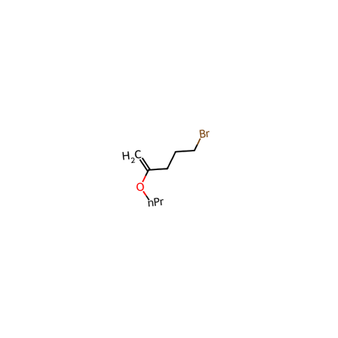 C=C(CCCBr)OCCC